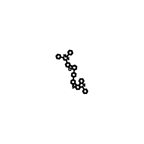 c1ccc(-c2cc(-c3ccc4oc5c(-c6ccc(-c7ccc8sc9ccc%10c(-c%11ccccc%11)nc%11ccccc%11c%10c9c8c7)cc6)cccc5c4c3)nc(-c3ccccc3)n2)cc1